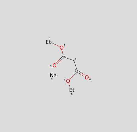 CCOC(=O)CC(=O)OCC.[Na]